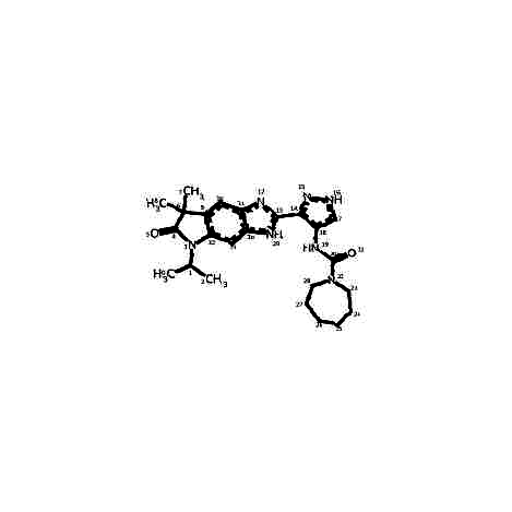 CC(C)N1C(=O)C(C)(C)c2cc3nc(-c4n[nH]cc4NC(=O)N4CCCCCC4)[nH]c3cc21